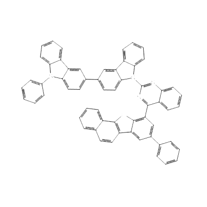 c1ccc(-c2cc(-c3nc(-n4c5ccccc5c5cc(-c6ccc7c(c6)c6ccccc6n7-c6ccccc6)ccc54)nc4ccccc34)c3oc4c5ccccc5ccc4c3c2)cc1